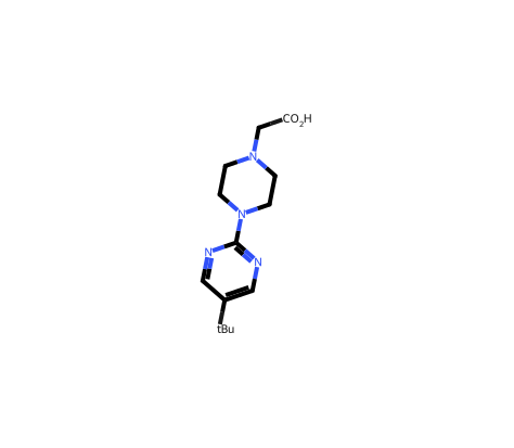 CC(C)(C)c1cnc(N2CCN(CC(=O)O)CC2)nc1